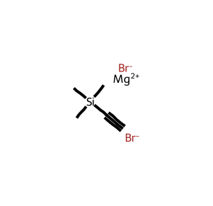 C#C[Si](C)(C)C.[Br-].[Br-].[Mg+2]